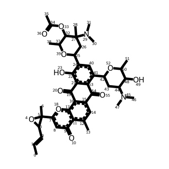 C/C=C/C1OC1(C)c1cc(=O)c2c(C)cc3c(c2o1)C(=O)c1c(O)c(C2CC(C)(N(C)C)C(OC(C)=O)C(C)O2)cc(C2CC(N(C)C)C(O)C(C)O2)c1C3=O